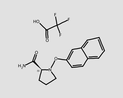 NC(=O)[C@@H]1CCCN1Oc1ccc2ccccc2c1.O=C(O)C(F)(F)F